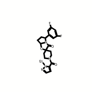 CCn1nccc1C(=O)N1CCC2(CC1)OC1CCC(c3cc(F)cc(F)c3)N1C2=O